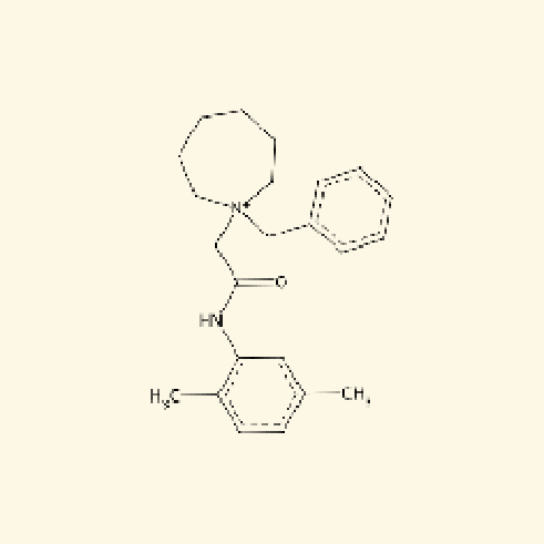 Cc1ccc(C)c(NC(=O)C[N+]2(Cc3ccccc3)CCCCCC2)c1